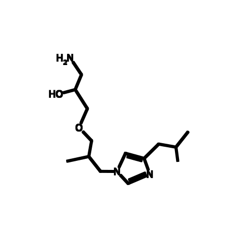 CC(C)Cc1cn(CC(C)COCC(O)CN)cn1